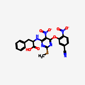 CSc1nc(NC(Cc2ccccc2)C(=O)O)c([N+](=O)[O-])c(Oc2cc(C#N)ccc2[N+](=O)[O-])n1